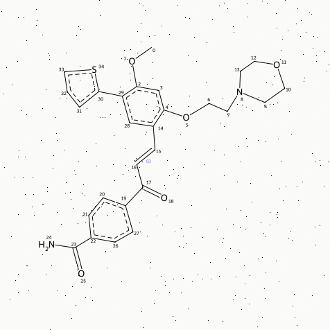 COc1cc(OCCN2CCOCC2)c(/C=C/C(=O)c2ccc(C(N)=O)cc2)cc1-c1cccs1